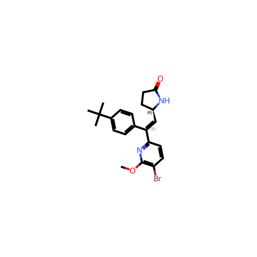 COc1nc(/C(=C/[C@H]2CCC(=O)N2)c2ccc(C(C)(C)C)cc2)ccc1Br